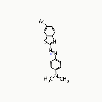 CC(=O)c1ccc2nc(/N=N/c3ccc(N(C)C)cc3)sc2c1